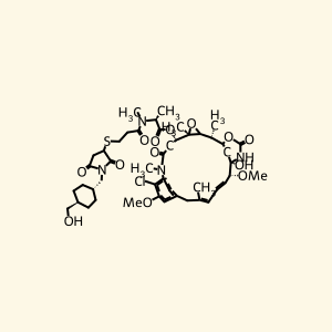 COc1cc2cc(c1Cl)N(C)C(=O)C[C@H](OC(=O)[C@H](C)N(C)C(=O)CCSC1CC(=O)N(C[C@H]3CC[C@H](CO)CC3)C1=O)[C@]1(C)OC1[C@H](C)C1C[C@@](O)(NC(=O)O1)[C@H](OC)/C=C/C=C(\C)C2